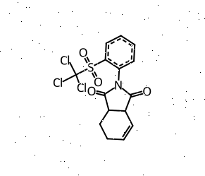 O=C1C2C=CCCC2C(=O)N1c1ccccc1S(=O)(=O)C(Cl)(Cl)Cl